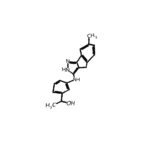 Cc1ccc2c(c1)-c1n[nH]c(Nc3cccc(C(C)O)c3)c1C2